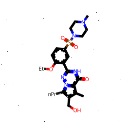 CCCc1c(CO)c(C)c2c(=O)[nH]c(-c3cc(S(=O)(=O)N4CCN(C)CC4)ccc3OCC)nn12